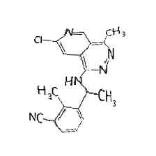 Cc1c(C#N)cccc1C(C)Nc1nnc(C)c2cnc(Cl)cc12